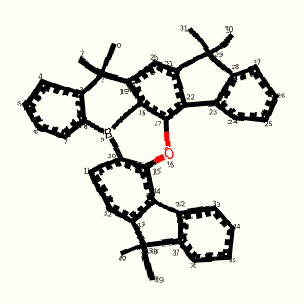 CC1(C)c2ccccc2B2c3ccc4c(c3Oc3c2c1cc1c3-c2ccccc2C1(C)C)-c1ccccc1C4(C)C